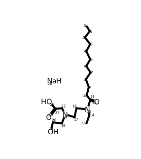 CCCCCCCCCCCC(=O)N(CC)CCN(CCO)CC(=O)O.[NaH]